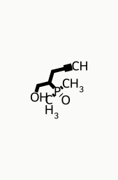 C#CCC(CO)P(C)(C)=O